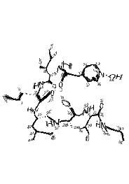 CCC[C@H](NC(=O)[C@@H](NC(=O)c1cc[n+](O)cc1)[C@@H](C)CC)C(=O)N[C@H](CN[C@@H](C)C(=O)N[C@H](C(=O)NCC)C(C)C)CC(C)C